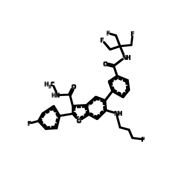 CNC(=O)c1c(-c2ccc(F)cc2)oc2cc(NCCCF)c(-c3cccc(C(=O)NC(CF)(CF)CF)c3)cc12